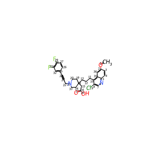 COc1ccc2ncc(Cl)c(CCCC3(CC(=O)O)CCN(CC#Cc4ccc(F)c(F)c4)CC3)c2c1